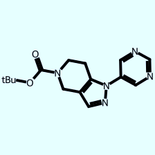 CC(C)(C)OC(=O)N1CCc2c(cnn2-c2cncnc2)C1